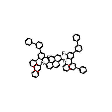 Fc1cc(-c2cccc(-c3ccccc3)c2)cc(-c2cccc(-c3ccccc3)c2)c1N(c1ccccc1)c1ccc2ccc3c(N(c4ccccc4)c4c(F)cc(-c5cccc(-c6ccccc6)c5)cc4-c4cccc(-c5ccccc5)c4)ccc4ccc1c2c43